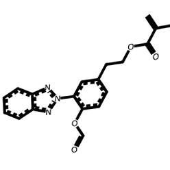 C=C(C)C(=O)OCCc1ccc(OC=O)c(-n2nc3ccccc3n2)c1